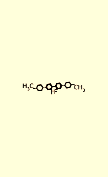 CC[C@H]1CC[C@H](c2ccc(-c3ccc([C@H]4CC[C@H](CC)CC4)cc3F)c(F)c2)CC1